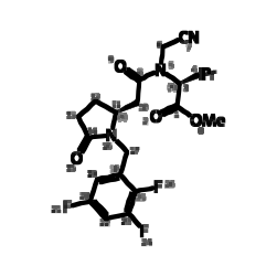 COC(=O)[C@H](C(C)C)N(CC#N)C(=O)C[C@@H]1CCC(=O)N1Cc1cc(F)cc(F)c1F